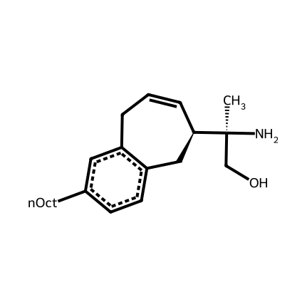 CCCCCCCCc1ccc2c(c1)CC=C[C@@H]([C@@](C)(N)CO)C2